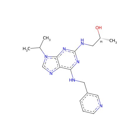 CC(C)n1cnc2c(NCc3cccnc3)nc(NC[C@@H](C)O)nc21